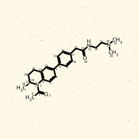 CC(=O)N1c2ccc(-c3ccc(CC(=O)NCCN(C)C)cc3)cc2CC[C@@H]1C